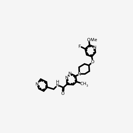 COc1ncc(OC2CCN(c3nnc(C(=O)NCc4ccncc4)cc3C)CC2)cc1F